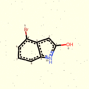 Oc1cc2c(Br)cccc2[nH]1